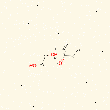 C=CC.CCC=O.OCCO